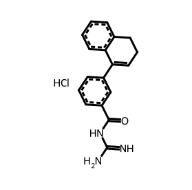 Cl.N=C(N)NC(=O)c1cccc(C2=CCCc3ccccc32)c1